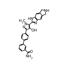 Cn1nc(-c2ccc(-c3cccc(C(N)=O)c3)cc2)c(O)c1-c1nc2cc3c(cc2[nH]1)CNC3